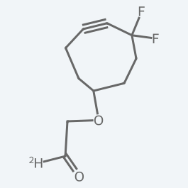 [2H]C(=O)COC1CCC#CC(F)(F)CC1